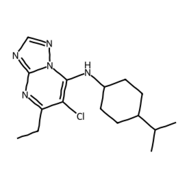 CCc1nc2ncnn2c(NC2CCC(C(C)C)CC2)c1Cl